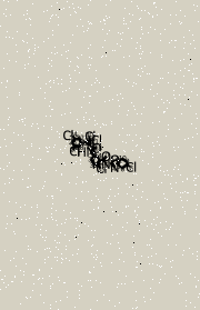 O=C(Nc1nc2cc(Cl)ccc2o1)c1cc(NC(=O)[C@@H]2[C@@H](c3cc(Cl)cc(Cl)c3)C2(Cl)Cl)ccc1Cl